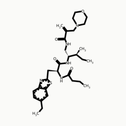 C=C(CN1CCOCC1)C(=O)NC[C@@H](NC(=O)[C@H](Cc1nc2ccc(CC)cc2s1)NC(=O)CCC)[C@@H](C)CC